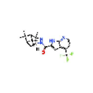 CC1(C)C2C[C@H](NC(=O)c3cc4c(C(F)(F)F)ccnc4[nH]3)C(C)(C)C1C2(C)C